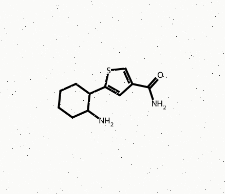 NC(=O)c1csc(C2CCCCC2N)c1